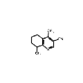 Cc1c(C#N)cnc2c1CCCC2O